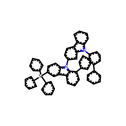 c1ccc(-c2cccc(-n3c4ccccc4c4ccc(-n5c6ccc([Si](c7ccccc7)(c7ccccc7)c7ccccc7)cc6c6cccc(-c7ccccc7)c65)cc43)c2)cc1